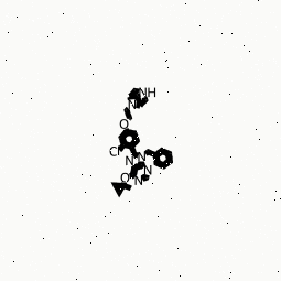 CC1(Oc2ncnc3c2nc(-c2ccc(OCCN4C5CNCC4C5)cc2Cl)n3Cc2ccccc2)CC1